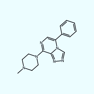 CN1CCN(c2ncc(-c3ccccc3)n3cnnc23)CC1